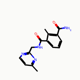 Cc1ccnc(CNC(=O)c2cccc(C(N)=O)c2C)n1